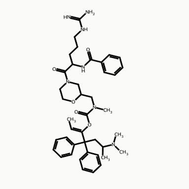 C/C=C(\OC(=O)N(C)CC1CN(C(=O)C(CCCNC(=N)N)NC(=O)c2ccccc2)CCO1)C(CC(C)N(C)C)(c1ccccc1)c1ccccc1